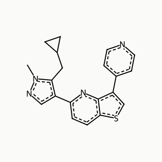 Cn1ncc(-c2ccc3scc(-c4ccncc4)c3n2)c1CC1CC1